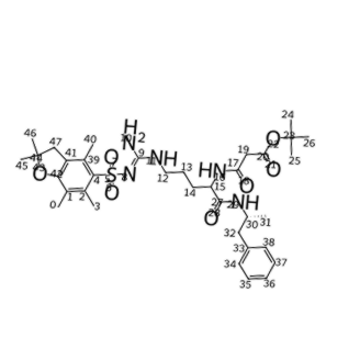 Cc1c(C)c(S(=O)(=O)/N=C(\N)NCCCC(NC(=O)CC(=O)OC(C)(C)C)C(=O)N[C@H](C)Cc2ccccc2)c(C)c2c1OC(C)(C)C2